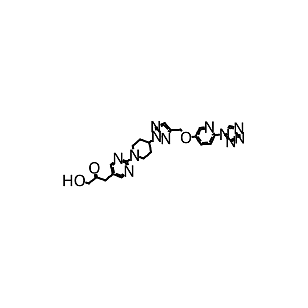 O=C(CO)Cc1cnc(N2CCC(n3ncc(COc4ccc(-n5cnnn5)nc4)n3)CC2)nc1